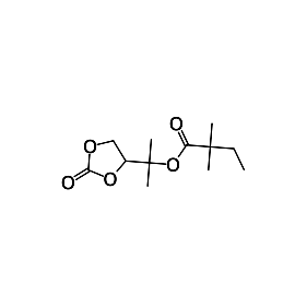 CCC(C)(C)C(=O)OC(C)(C)C1COC(=O)O1